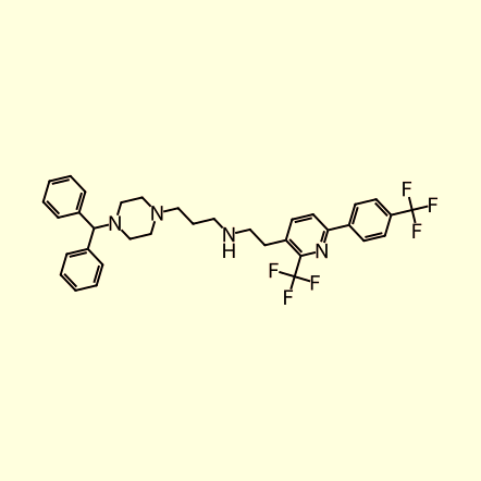 FC(F)(F)c1ccc(-c2ccc(CCNCCCN3CCN(C(c4ccccc4)c4ccccc4)CC3)c(C(F)(F)F)n2)cc1